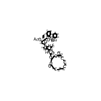 C#C[C@]1(CO[Si](c2ccccc2)(c2ccccc2)C(C)(C)C)O[C@@H](n2cnc3c(NC(=O)OC4COC(=O)CCCCCCCCCCCC(=O)OC4)nc(F)nc32)C[C@@H]1OC(C)=O